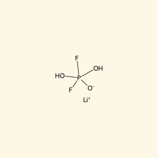 [Li+].[O-]P(O)(O)(F)F